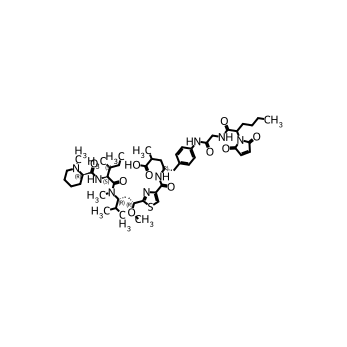 CCCCC(C(=O)NCC(=O)Nc1ccc(C[C@@H](CC(C)C(=O)O)NC(=O)c2csc([C@@H](C[C@H](C(C)C)N(C)C(=O)[C@@H](NC(=O)[C@H]3CCCCN3C)[C@@H](C)CC)OC)n2)cc1)N1C(=O)C=CC1=O